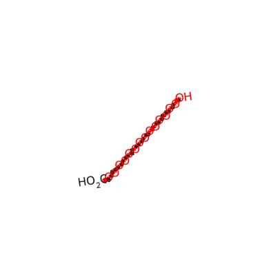 CC(OCCOCCOCCOCCOCCOCCOCCOCCOCCOCCOCCOCCOCCOCCO)=C(C)C(=O)O